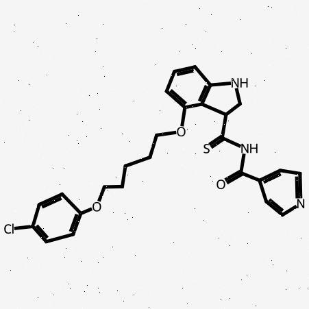 O=C(NC(=S)C1CNc2cccc(OCCCCCOc3ccc(Cl)cc3)c21)c1ccncc1